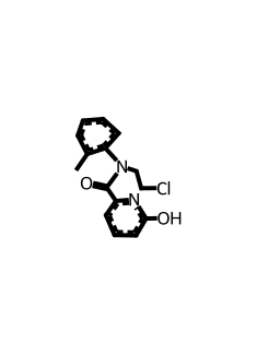 Cc1ccccc1N(CCCl)C(=O)c1cccc(O)n1